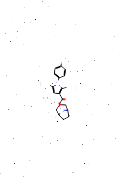 COC1C[C@H]2CC[C@@H](C1)N2CC(=O)c1cc(C)n(-c2ccc(C#N)cc2)c1C